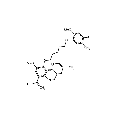 C=C(C)c1cc(OC)c(OCCCCCOc2cc(C)c(C(C)=O)cc2OC)cc1/N=C\C(CCC)C/C(C)=C\C